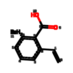 C=Cc1ccccc1C(=O)O.[BaH2]